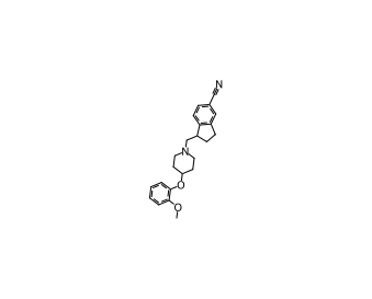 COc1ccccc1OC1CCN(CC2CCc3cc(C#N)ccc32)CC1